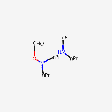 CCCN(CCC)OC=O.CCCNCCC